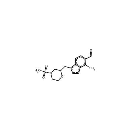 Cc1c(C=O)ccc2c1ccn2CC1CN(S(C)(=O)=O)CCO1